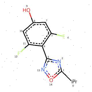 CC(C)c1nc(-c2c(F)cc(O)cc2F)no1